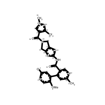 COc1cnc(Cl)cc1-c1cc(C)ncc1C(=O)Nc1nc2c(s1)CN(C(=O)c1cn(C)nc1C(F)(F)F)C2